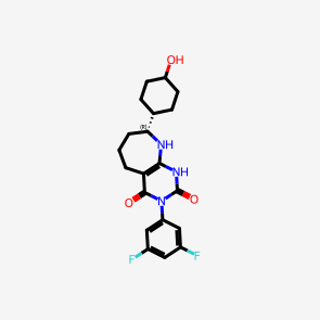 O=c1[nH]c2c(c(=O)n1-c1cc(F)cc(F)c1)CCC[C@H](C1CCC(O)CC1)N2